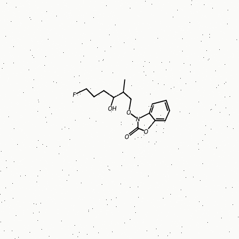 CC(COn1c(=O)oc2ccccc21)C(O)CCCF